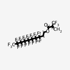 C=C(C(=O)OCCC(F)(F)C(F)(F)C(F)(F)C(F)(F)C(F)(F)C(F)(F)C(F)(F)C(F)(F)F)C(F)(F)F